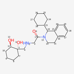 O=C(CNC[C@@]1(O)CCCC[C@H]1O)N1CCc2ccccc2C1C1CCCCC1